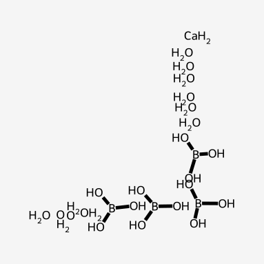 O.O.O.O.O.O.O.O.O.O.OB(O)O.OB(O)O.OB(O)O.OB(O)O.[CaH2]